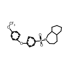 O=S(=O)(c1ccc(Oc2ccc(OC(F)(F)F)cc2)cc1)N1CCCC2CCCCC2C1